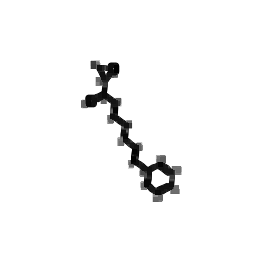 O=C(C=CC=CC=Cc1ccccc1)C1CO1